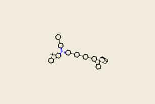 CC1(C)c2ccccc2-c2ccc(N(c3ccc(-c4ccccc4)cc3)c3ccc(-c4ccc(-c5ccc(-c6ccc7c(c6)-c6ccccc6C76C7CC8CC(C7)CC6C8)cc5)cc4)cc3)cc21